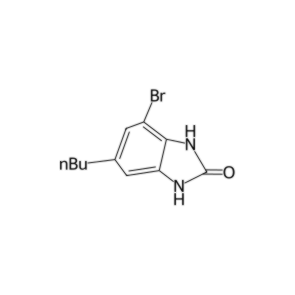 CCCCc1cc(Br)c2[nH]c(=O)[nH]c2c1